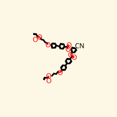 C=CC(=O)OCCCCOc1ccc(-c2ccc(C(=O)Oc3ccc(C#N)cc3OC(=O)c3ccc(-c4ccc(OCCCCOC(=O)C=C)cc4)cc3)cc2)cc1